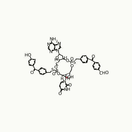 Nc1ncnc2c1ncn2[C@H]1C[C@@H]2OP(=O)(SCc3ccc(C(=O)c4ccc(C=O)cc4)cc3)OC[C@H]3O[C@@H](n4ccc(=O)[nH]c4=O)[C@H](OP(=O)(SCc4ccc(C(=O)c5ccc(O)cc5)cc4)OC[C@H]2O1)[C@@H]3F